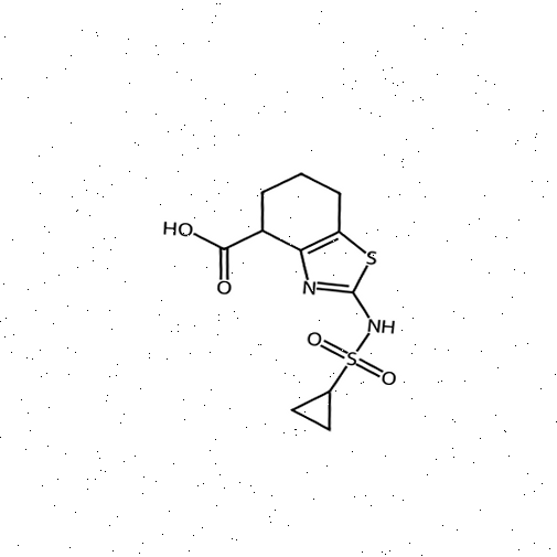 O=C(O)C1CCCc2sc(NS(=O)(=O)C3CC3)nc21